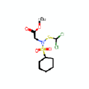 CCCCOC(=O)CN(SC(Cl)Cl)S(=O)(=O)C1CCCCC1